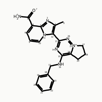 Cc1nc2c(C(N)=O)cccn2c1-c1nc(NCc2ccccc2)c2[n+](n1)CCC2